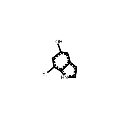 CCc1cc(O)cc2cc[nH]c12